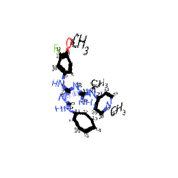 COc1ccc(NC(=N/CNC2CCCCCC2)/N=C(\N)N(C)C2CCN(C)CC2)cc1F